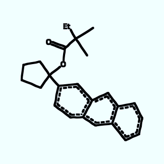 CCC(C)(C)C(=O)OC1(c2ccc3cc4ccccc4cc3c2)CCCC1